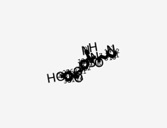 N#Cc1c(NC(=O)C=Cc2cccnc2)sc2c1CC[C@H](COC(=O)N1CCC(O)CC1)C2